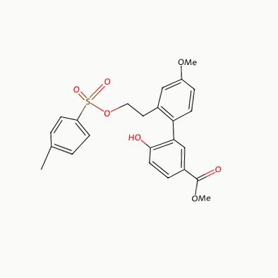 COC(=O)c1ccc(O)c(-c2ccc(OC)cc2CCOS(=O)(=O)c2ccc(C)cc2)c1